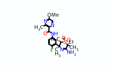 CC[C@]1(C)C(N)=N[C@](C)(c2cc(NC(=O)c3ncc(OC)nc3C)ccc2F)C(C)S1(=O)=O